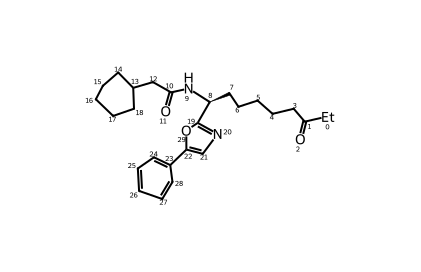 CCC(=O)CCCCC[C@H](NC(=O)CC1CCCCC1)c1ncc(-c2ccccc2)o1